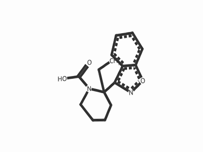 CCC1(c2noc3ccccc23)CCCCN1C(=O)O